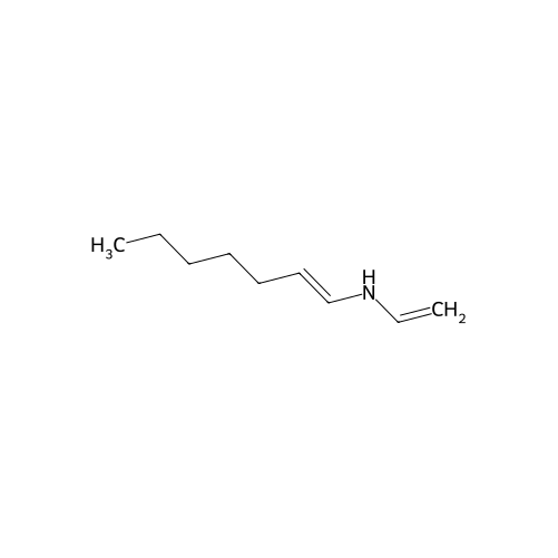 C=CNC=CCCCCC